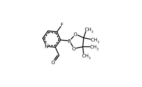 CC1(C)OB(c2c(F)ccnc2C=O)OC1(C)C